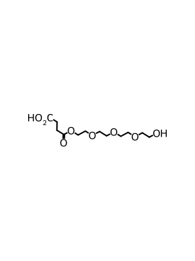 O=C(O)CCC(=O)OCCOCCOCCOCCO